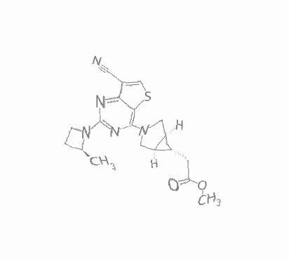 COC(=O)C[C@@H]1[C@H]2CN(c3nc(N4CC[C@@H]4C)nc4c(C#N)csc34)C[C@@H]12